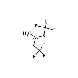 C[As](SC(F)(F)F)SC(F)(F)F